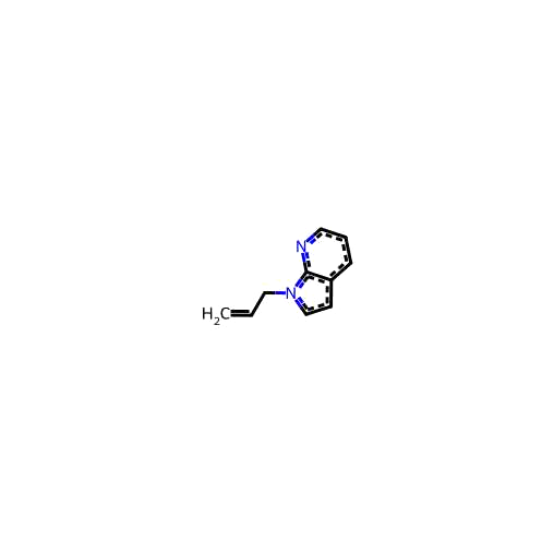 C=CCn1ccc2cccnc21